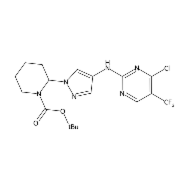 CC(C)(C)OC(=O)N1CCCCC1n1cc(Nc2ncc(C(F)(F)F)c(Cl)n2)cn1